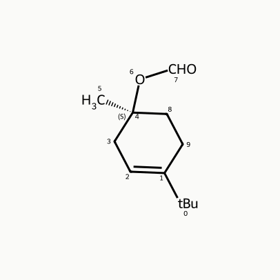 CC(C)(C)C1=CC[C@@](C)(OC=O)CC1